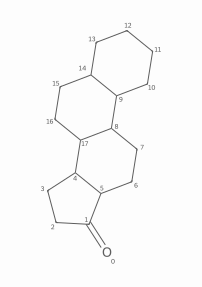 O=C1CCC2C1CCC1C3CCCCC3CCC21